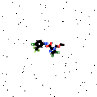 CCOCn1c(C(=O)ONc2ccc(Cl)c(C(F)(F)F)c2)nc(Cl)c1Cl